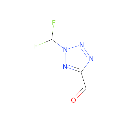 O=Cc1nnn(C(F)F)n1